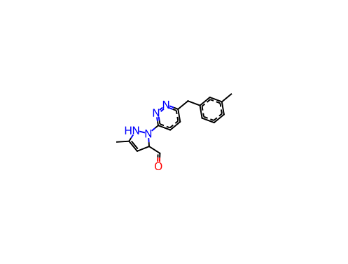 CC1=CC(C=O)N(c2ccc(Cc3cccc(C)c3)nn2)N1